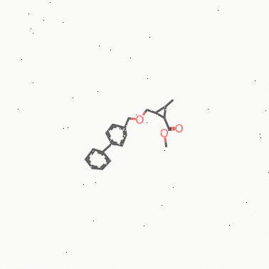 COC(=O)C1C(C)C1COCc1ccc(-c2ccccc2)cc1